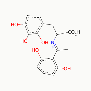 C/C(=N\C(Cc1ccc(O)c(O)c1O)C(=O)O)c1c(O)cccc1O